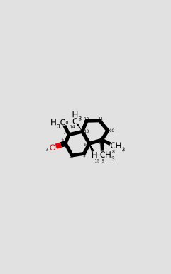 CC1C(=O)CC[C@H]2C(C)(C)CCC[C@]12C